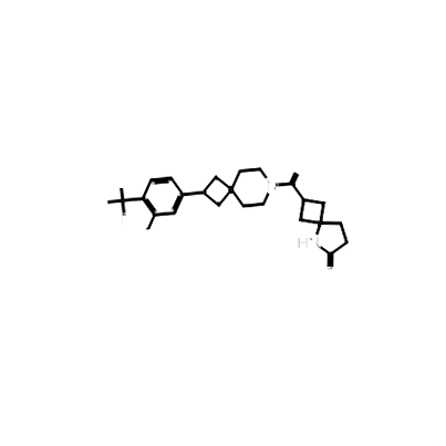 O=C1CCC2(CC(C(=O)N3CCC4(CC3)CC(c3ccc(C(F)(F)F)c(Cl)c3)C4)C2)N1